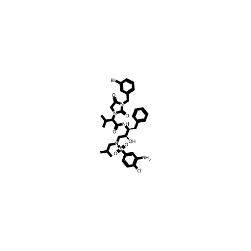 CC(C)CN(C[C@H](O)[C@H](Cc1ccccc1)NC(=O)C(C(C)C)N1CC(=O)N(Cc2cccc(Br)c2)C1=O)S(=O)(=O)c1ccc(Cl)c(N)c1